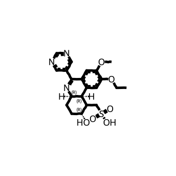 CCOc1cc2c(cc1OC)C(c1cncnc1)=N[C@@H]1CC[C@@H](O)C(CS(=O)(=O)O)[C@H]21